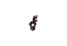 CO[C@@H](C)c1ncccc1-c1c2c3cc(ccc3n1CC(F)(F)F)-c1csc(n1)C[C@H](NC(=O)C(C1CCCC1)N1CC[C@]3(CCN(C(=O)[C@H]4C(C5CC5)N4C)C3)C1)C(=O)N1CCC[C@H](N1)C(=O)OCC(C)(C)C2